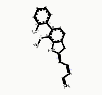 C=C/C=C\C=C1/Cc2ccc(-c3ccccc3C)c(OCCCC)c2N1